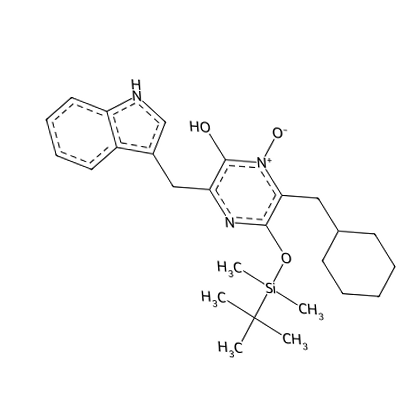 CC(C)(C)[Si](C)(C)Oc1nc(Cc2c[nH]c3ccccc23)c(O)[n+]([O-])c1CC1CCCCC1